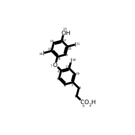 O=C(O)CCc1ccc(Oc2cc(I)c(O)cc2I)c(I)c1